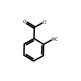 [C-]#[N+]c1ccccc1C(=O)Cl